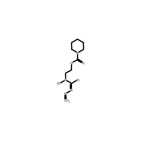 C=N/N=C(/CC)N(CC)CCOC(=O)N1CCCCC1